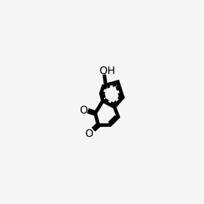 O=C1C=Cc2ccc(O)cc2C1=O